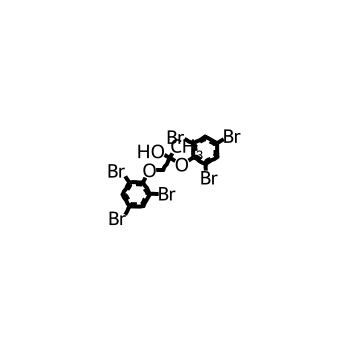 CC(O)(COc1c(Br)cc(Br)cc1Br)Oc1c(Br)cc(Br)cc1Br